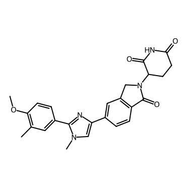 COc1ccc(-c2nc(-c3ccc4c(c3)CN(C3CCC(=O)NC3=O)C4=O)cn2C)cc1C